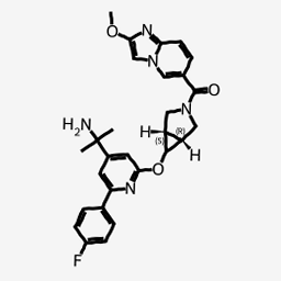 COc1cn2cc(C(=O)N3C[C@@H]4C(Oc5cc(C(C)(C)N)cc(-c6ccc(F)cc6)n5)[C@@H]4C3)ccc2n1